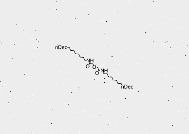 CCCCCCCCCCCCCCCCCCNC(=O)COCC(=O)NCCCCCCCCCCCCCCCCCC